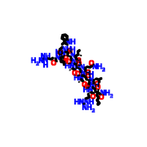 C=CCCC[C@](C)(CC(=O)[C@@H](NC(=O)[C@@H](CC(=O)[C@@H](NC(=O)[C@@H](CC(=O)[C@@H](NC(=O)[C@@H](CC(=O)[C@@H](NC(=O)[C@@H](CC(C)=O)N[C@H](C=O)CCCNC(=N)N)N[C@H](C=O)Cc1c[nH]c2ccccc12)N[C@H](C=O)[C@@H](C)CC)N[C@@H](C)C=O)N[C@H](C=O)CCC(N)=O)N[C@@H](C)C=O)N[C@H](C=O)CC(C)C)N[C@H](C=O)CCCNC(=N)N)C(N)=O